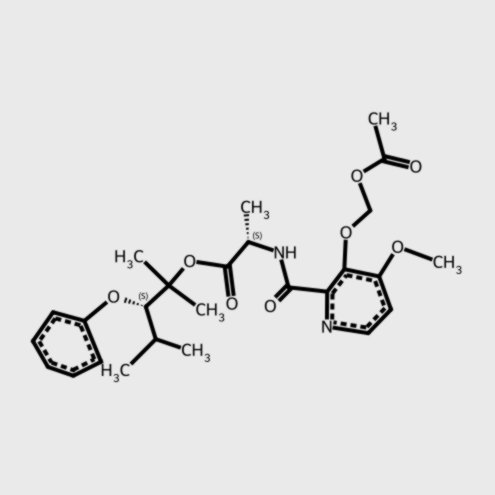 COc1ccnc(C(=O)N[C@@H](C)C(=O)OC(C)(C)[C@@H](Oc2ccccc2)C(C)C)c1OCOC(C)=O